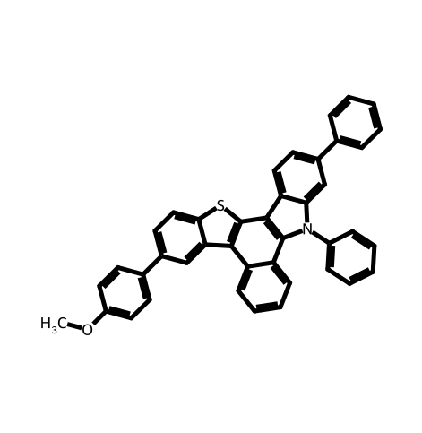 COc1ccc(-c2ccc3sc4c(c3c2)c2ccccc2c2c4c3ccc(-c4ccccc4)cc3n2-c2ccccc2)cc1